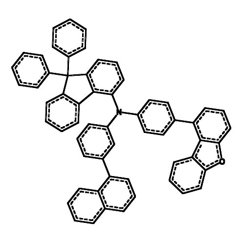 c1ccc(C2(c3ccccc3)c3ccccc3-c3c(N(c4ccc(-c5cccc6oc7ccccc7c56)cc4)c4cccc(-c5cccc6ccccc56)c4)cccc32)cc1